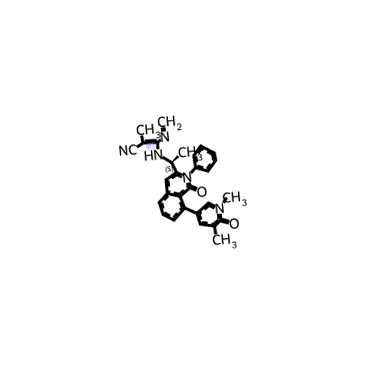 C=N/C(N[C@@H](C)c1cc2cccc(-c3cc(C)c(=O)n(C)c3)c2c(=O)n1-c1ccccc1)=C(\C)C#N